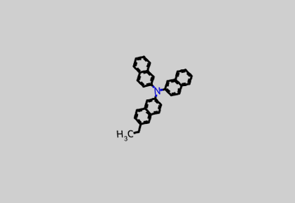 CCc1ccc2cc(N(c3ccc4ccccc4c3)c3ccc4ccccc4c3)ccc2c1